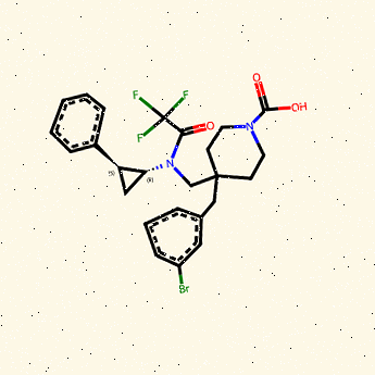 O=C(O)N1CCC(Cc2cccc(Br)c2)(CN(C(=O)C(F)(F)F)[C@@H]2C[C@H]2c2ccccc2)CC1